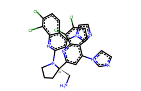 NC[C@]1(c2cc(-n3ccnc3)c3ccc(Cl)c(Cl)c3n2)CCCN1c1cc(-n2ccnc2)c2ccc(Cl)c(Cl)c2n1